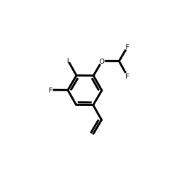 C=Cc1cc(F)c(I)c(OC(F)F)c1